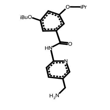 CC(C)COc1cc(OC(C)C)cc(C(=O)Nc2ccc(CN)cn2)c1